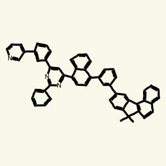 CC1(C)c2ccc(-c3cccc(-c4ccc(-c5cc(-c6cccc(-c7cccnc7)c6)nc(-c6ccccc6)n5)c5ccccc45)c3)cc2-c2c1ccc1ccccc21